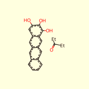 CCC(=O)CC.Oc1cc2cc3cc4ccccc4cc3cc2c(O)c1O